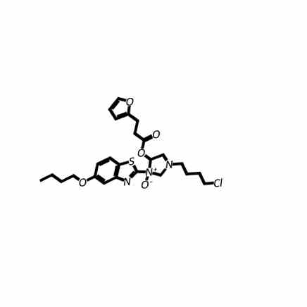 CCCCOc1ccc2sc([N+]3([O-])CN(CCCCCl)CC3OC(=O)CCc3ccco3)nc2c1